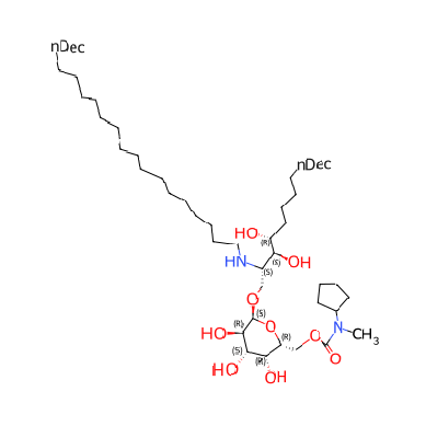 CCCCCCCCCCCCCCCCCCCCCCCCCCN[C@@H](CO[C@H]1O[C@H](COC(=O)N(C)C2CCCC2)[C@H](O)[C@H](O)[C@H]1O)[C@H](O)[C@H](O)CCCCCCCCCCCCCC